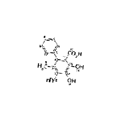 CCCc1c(C)c(-c2ccccc2)c(C(=O)O)c(O)c1O